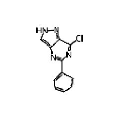 Clc1nc(-c2ccccc2)nc2c[nH]nc12